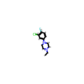 CCN1CCN(c2ccc(F)c(Cl)c2)CC1